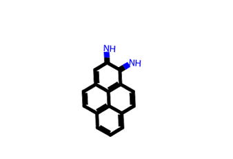 N=c1cc2ccc3cccc4ccc(c1=N)c2c34